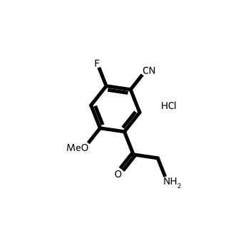 COc1cc(F)c(C#N)cc1C(=O)CN.Cl